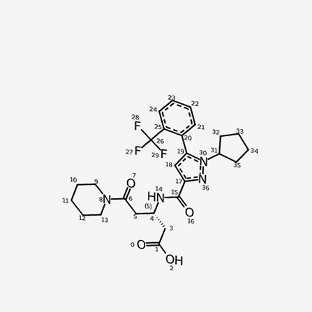 O=C(O)C[C@H](CC(=O)N1CCCCC1)NC(=O)c1cc(-c2ccccc2C(F)(F)F)n(C2CCCC2)n1